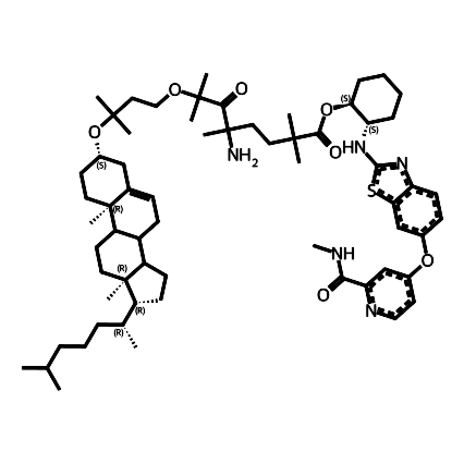 CNC(=O)c1cc(Oc2ccc3nc(N[C@H]4CCCC[C@@H]4OC(=O)C(C)(C)CCC(C)(N)C(=O)C(C)(C)OCCC(C)(C)O[C@H]4CC[C@@]5(C)C(=CCC6C5CC[C@@]5(C)C6CC[C@@H]5[C@H](C)CCCC(C)C)C4)sc3c2)ccn1